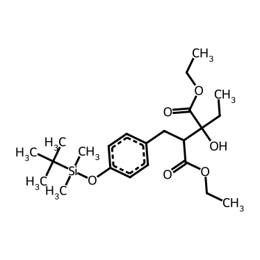 CCOC(=O)C(Cc1ccc(O[Si](C)(C)C(C)(C)C)cc1)C(O)(CC)C(=O)OCC